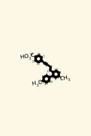 Cc1ccc(-c2cc(C)ccc2C=CC#Cc2ccc(C(=O)O)cc2)cc1